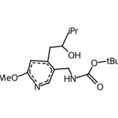 COc1cc(CC(O)C(C)C)c(CNC(=O)OC(C)(C)C)cn1